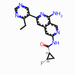 CCc1ncncc1-c1cc2cc(NC(=O)[C@@H]3C[C@@H]3F)ncc2c(N)n1